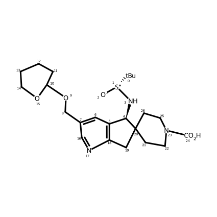 CC(C)(C)[S@@+]([O-])N[C@@H]1c2cc(COC3CCCCO3)cnc2CC12CCN(C(=O)O)CC2